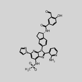 CS(=O)(=O)Nc1cc(-n2cccn2)nc2c1nc(-c1cccnc1N)n2-c1ccc2c(c1)CC[C@@H]2NC(=O)c1ccc(O)c(C=O)c1